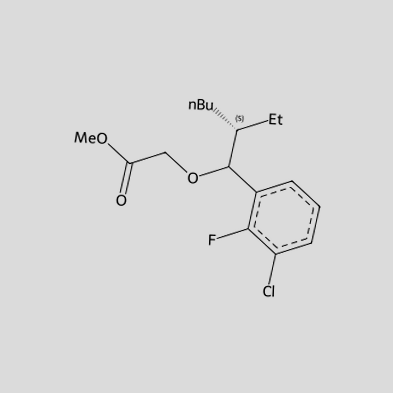 CCCC[C@H](CC)C(OCC(=O)OC)c1cccc(Cl)c1F